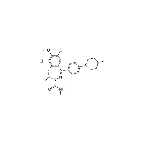 CNC(=O)N1N=C(c2ccc(N3CCN(C)CC3)cc2)c2cc(OC)c(OC)c(Cl)c2CC1C